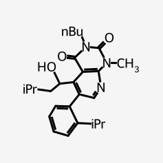 CCCCn1c(=O)c2c(C(O)CC(C)C)c(-c3ccccc3C(C)C)cnc2n(C)c1=O